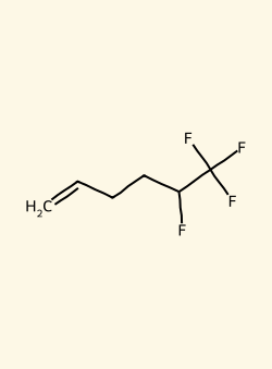 C=CCCC(F)C(F)(F)F